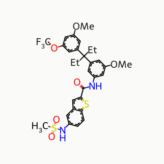 CCC(CC)(c1cc(NC(=O)c2cc3cc(NS(C)(=O)=O)ccc3s2)cc(OC)c1)c1cc(OC)cc(OC(F)(F)F)c1